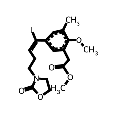 COC(=O)Cc1cc(/C(I)=C\CCN2CCOC2=O)cc(C)c1OC